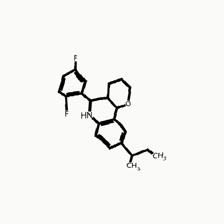 CCC(C)c1ccc2c(c1)C1OCCCC1C(c1cc(F)ccc1F)N2